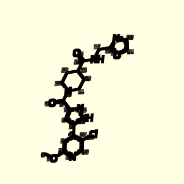 COc1cc(-c2cc(C(=O)N3CCC(C(=O)NCc4ncco4)CC3)n[nH]2)c(Cl)cn1